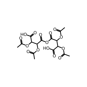 CC(=O)OC(C(=O)O)C(OC(C)=O)C(=O)OC(=O)C(OC(C)=O)C(OC(C)=O)C(=O)O